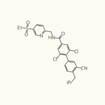 CCS(=O)(=O)c1ccc(CNC(=O)c2cc(Cl)c(-c3ccc(CC(C)C)c(C#N)c3)c(Cl)c2)nc1